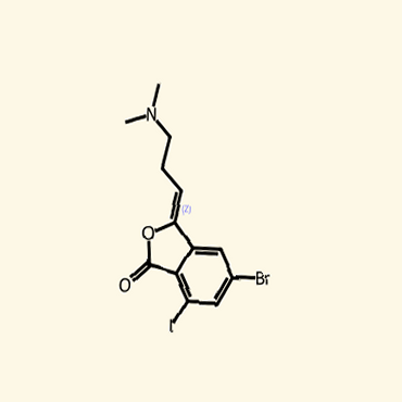 CN(C)CC/C=C1\OC(=O)c2c(I)cc(Br)cc21